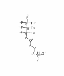 C[PH](=O)OCCOCC(F)(F)C(F)(F)C(F)(F)F